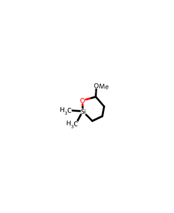 COC1CCC[Si](C)(C)O1